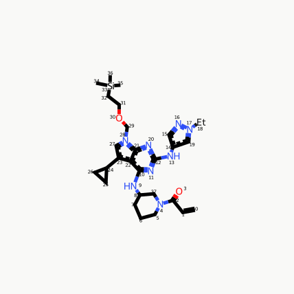 C=CC(=O)N1CCCC(Nc2nc(Nc3cnn(CC)c3)nc3c2c(C2CC2)cn3COCC[Si](C)(C)C)C1